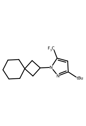 CC(C)(C)c1cc(C(F)(F)F)n(C2CC3(CCCCC3)C2)n1